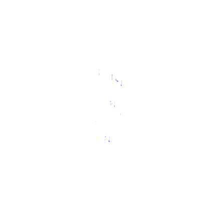 Cn1nc2c(c1-c1ccccc1)CCN(C(=O)c1ccc3scnc3c1)C2